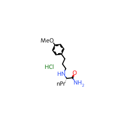 CCC[C@H](NCCCc1ccc(OC)cc1)C(N)=O.Cl